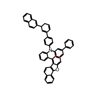 C1=CC(c2ccc(N(c3cccc(-c4ccccc4)c3)c3ccccc3-c3cccc4oc5c6ccccc6ccc5c34)cc2)=CC(c2ccc3ccccc3c2)C1